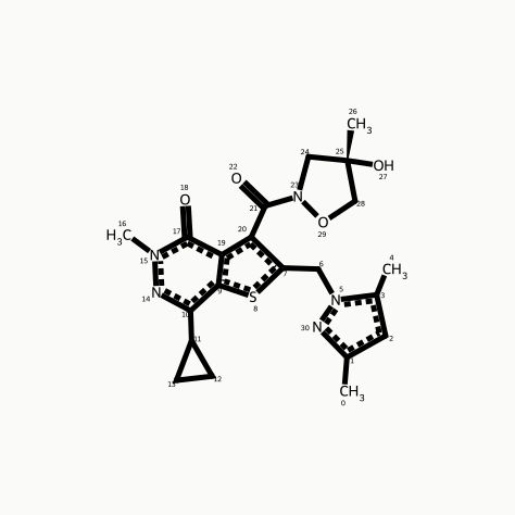 Cc1cc(C)n(Cc2sc3c(C4CC4)nn(C)c(=O)c3c2C(=O)N2C[C@](C)(O)CO2)n1